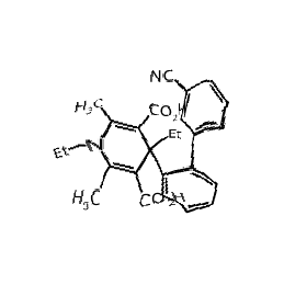 CCN1C(C)=C(C(=O)O)C(CC)(c2ccccc2-c2cccc(C#N)c2)C(C(=O)O)=C1C